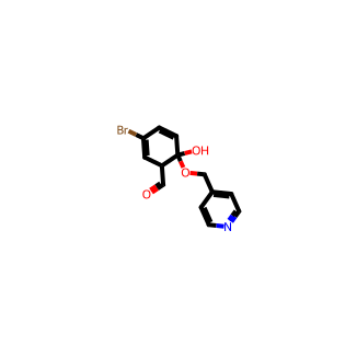 O=CC1C=C(Br)C=CC1(O)OCc1ccncc1